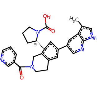 Cc1c[nH]c2ncc(-c3cc4c(c([C@@H]5CCCN5C(=O)O)c3)CN(C(=O)c3cccnc3)CC4)cc12